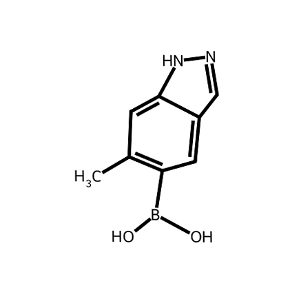 Cc1cc2[nH]ncc2cc1B(O)O